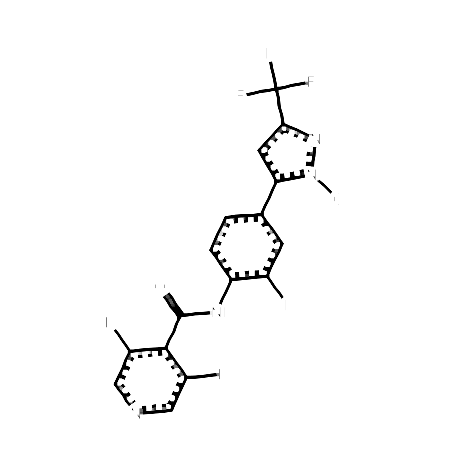 Cn1nc(C(F)(F)F)cc1-c1ccc(NC(=O)c2c(F)cncc2F)c(F)c1